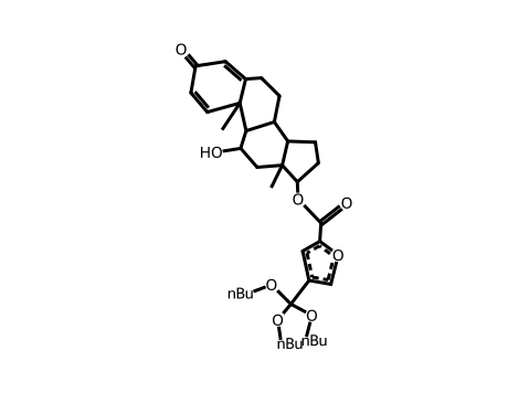 CCCCOC(OCCCC)(OCCCC)c1coc(C(=O)OC2CCC3C4CCC5=CC(=O)C=CC5(C)C4C(O)CC23C)c1